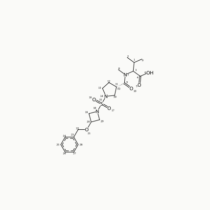 CC(C)C(C(=O)O)N(C)C(=O)[C@H]1CCN(S(=O)(=O)N2CC(OCc3ccccc3)C2)C1